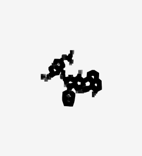 C#Cc1c(F)ccc2cccc(-c3ncc4c(N5CC6CCC(C5)N6)nc(OC[C@]56CC(=C)CN5C[C@@H](OC(F)F)C6)nc4c3F)c12